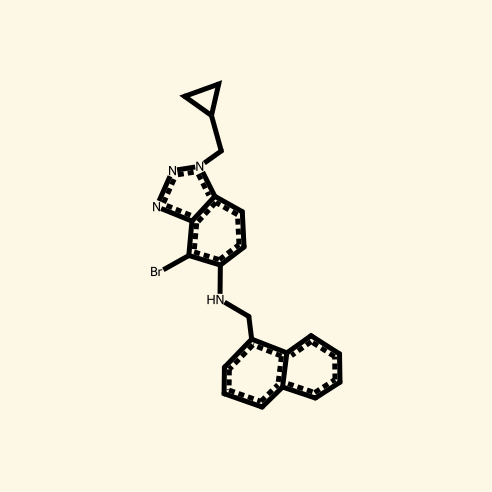 Brc1c(NCc2cccc3ccccc23)ccc2c1nnn2CC1CC1